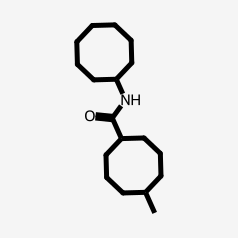 CC1CCCC(C(=O)NC2CCCCCCC2)CCC1